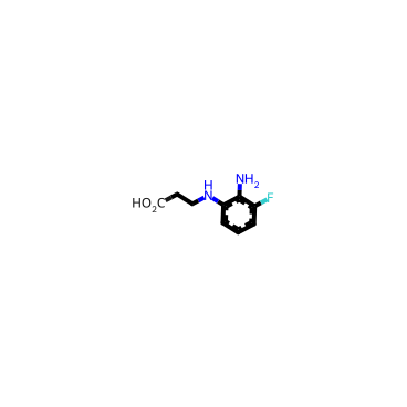 Nc1c(F)cccc1NCCC(=O)O